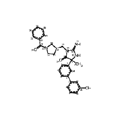 CC1(c2cccc(-c3cccc(Cl)c3)c2)NC(=N)N(C[C@H]2CCN(C(=O)c3ccccc3)C2)C1=O